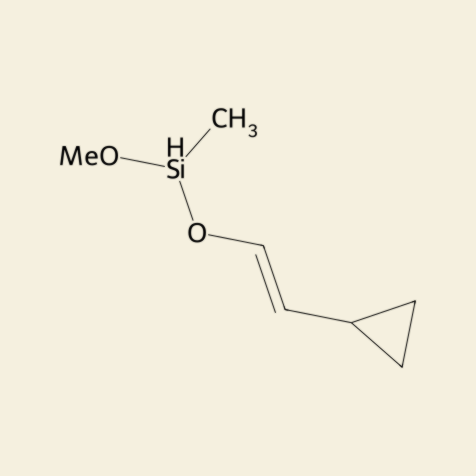 CO[SiH](C)OC=CC1CC1